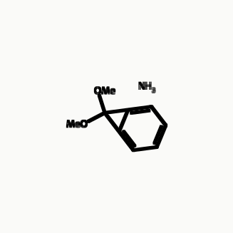 COC1(OC)c2ccccc21.N